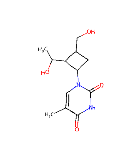 Cc1cn(C2CC(CO)C2C(C)O)c(=O)[nH]c1=O